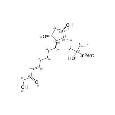 C=CC(O)(CCCCC)CC[C@H]1[C@H](O)CC(=O)[C@@H]1CCCCC=CC(=O)CO